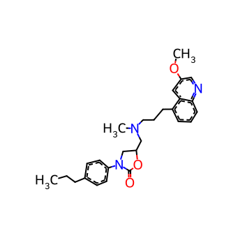 CCCc1ccc(N2CC(CN(C)CCCc3cccc4ncc(OC)cc34)OC2=O)cc1